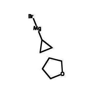 C1CCOC1.[Br][Mg][CH]1CC1